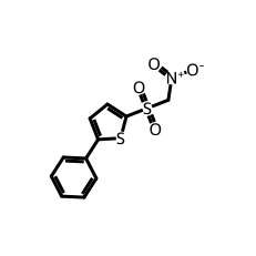 O=[N+]([O-])CS(=O)(=O)c1ccc(-c2ccccc2)s1